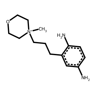 C[N+]1(CCCc2cc(N)ccc2N)CCOCC1